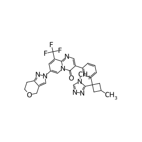 CC1CC(c2cccc(-c3cnc4c(C(F)(F)F)cc(-n5cc6c(n5)CCOC6)cn4c3=O)c2)(c2nncn2C)C1